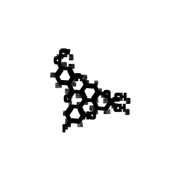 CC(C)c1cc2c(c(-c3ccc(F)cc3)c1C(=O)c1ccc(OC(F)(F)F)cc1)[C@@H](O)CC(C)(C)O2